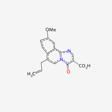 C=CCc1cn2c(=O)c(C(=O)O)cnc2c2cc(OC)ccc12